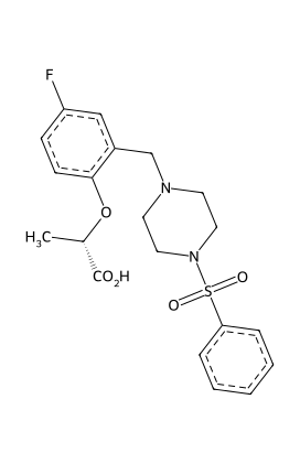 C[C@H](Oc1ccc(F)cc1CN1CCN(S(=O)(=O)c2ccccc2)CC1)C(=O)O